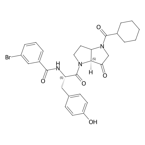 O=C(N[C@@H](Cc1ccc(O)cc1)C(=O)N1CCC2[C@H]1C(=O)CN2C(=O)C1CCCCC1)c1cccc(Br)c1